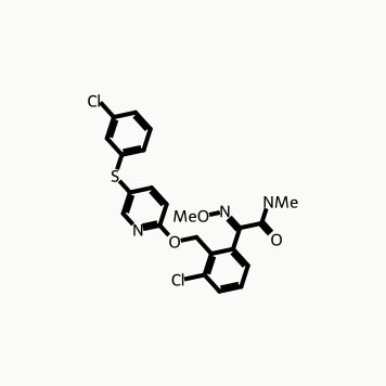 CNC(=O)/C(=N/OC)c1cccc(Cl)c1COc1ccc(Sc2cccc(Cl)c2)cn1